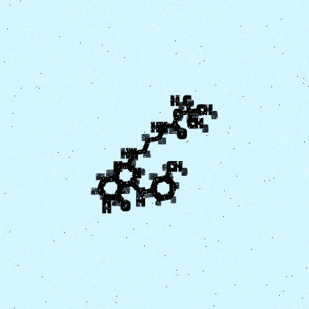 Cc1cccc(Nc2nc(NCCCNC(=O)OC(C)(C)C)nc3cc[nH]c(=O)c23)c1